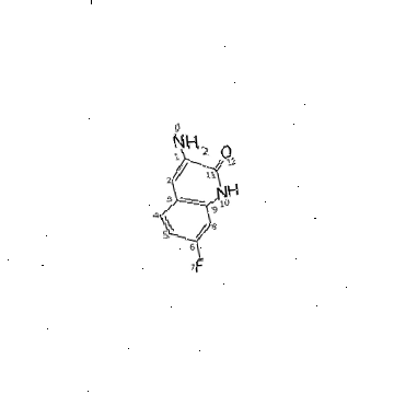 Nc1cc2ccc(F)cc2[nH]c1=O